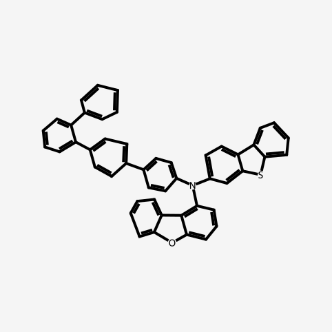 c1ccc(-c2ccccc2-c2ccc(-c3ccc(N(c4ccc5c(c4)sc4ccccc45)c4cccc5oc6ccccc6c45)cc3)cc2)cc1